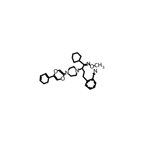 CON=C(C1CCCCC1)C(CCc1ccccc1C#N)N1CCN(C2=COC(C3=CC=CCC3)=CO2)CC1